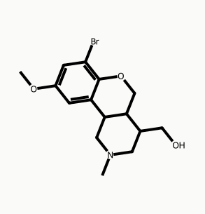 COc1cc(Br)c2c(c1)C1CN(C)CC(CO)C1CO2